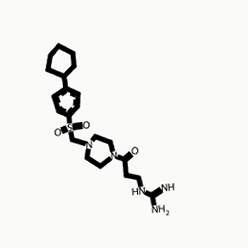 N=C(N)NCCC(=O)N1CCN(CS(=O)(=O)c2ccc(C3CCCCC3)cc2)CC1